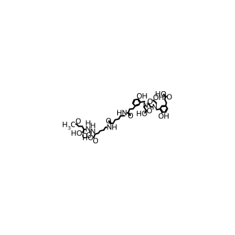 CC(=O)CCC(NC(=O)NC(CCCCNC(=O)CCCCCNC(=O)CCc1ccc(O)c(CN(CCN(CC(=O)O)Cc2cc(CCC(=O)O)ccc2O)CC(=O)O)c1)C(=O)O)C(=O)O